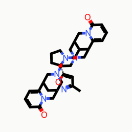 Cc1cc([C@@H]2CCCN2CC2C3CN(CCN4CC5CC(C4)c4cccc(=O)n4C5)CC2c2cccc(=O)n2C3)on1